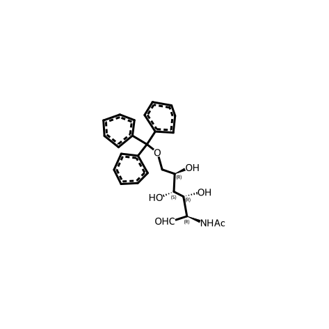 CC(=O)N[C@@H](C=O)[C@@H](O)[C@H](O)[C@H](O)COC(c1ccccc1)(c1ccccc1)c1ccccc1